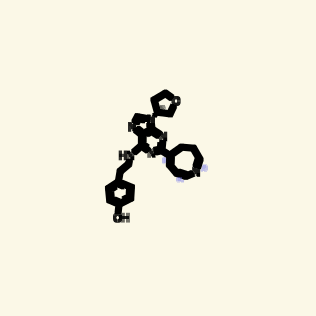 Oc1ccc(CCNc2nc(/C3=C/C=C\N=C/CC3)nc3c2ncn3[C@H]2CCOC2)cc1